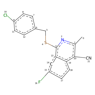 Cc1nc(SCc2ccc(Cl)cc2)c2cc(F)ccc2c1C#N